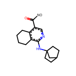 O=NC(=O)c1cnc(NC23CCC(CC2)C3)c2c1CCCC2